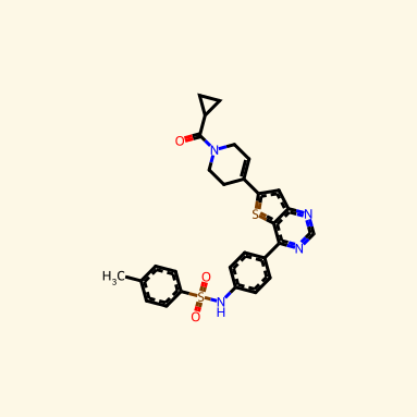 Cc1ccc(S(=O)(=O)Nc2ccc(-c3ncnc4cc(C5=CCN(C(=O)C6CC6)CC5)sc34)cc2)cc1